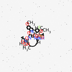 COc1ccc2c(O[C@@H]3C[C@H]4C(=O)N[C@]5(C(=O)NS(=O)(=O)C6(C)CC6)C[C@H]5/C=C\CC[C@H](C)C[C@@H](C)[C@H](N(CC5(C)CC5)C(=O)O)C(=O)N4C3)nc(-c3ccc(OC(C)C)c(F)c3)cc2c1